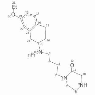 CCCN(CCCCN1CCNCC1=O)C1CCc2ccc(OCC)cc2C1